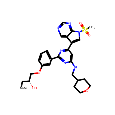 CNC[C@@H](O)COc1cccc(-c2nc(NCC3CCOCC3)cc(-c3cn(S(C)(=O)=O)c4ncncc34)n2)c1